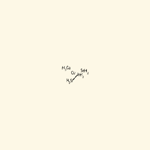 [Cu].[GaH3].[SeH2].[SiH3][InH2]